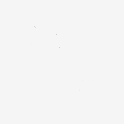 COC(=O)C1CCC(n2cnc3c(N)nccc32)CC1